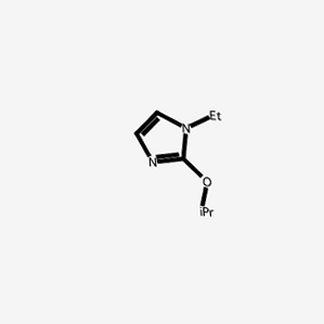 CCn1ccnc1OC(C)C